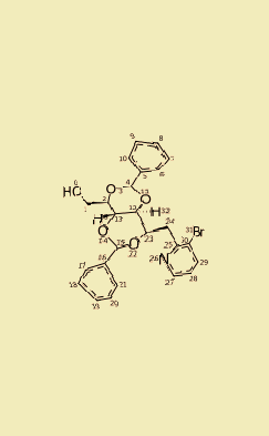 OC[C@H]1OC(c2ccccc2)O[C@@H]2[C@@H]1OC(c1ccccc1)O[C@@H]2Cc1ncccc1Br